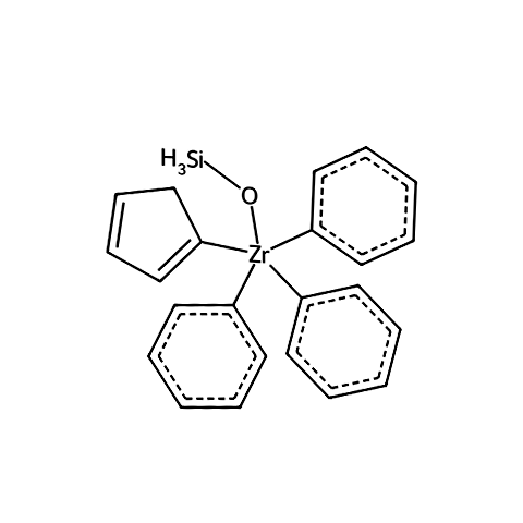 [SiH3][O][Zr]([C]1=CC=CC1)([c]1ccccc1)([c]1ccccc1)[c]1ccccc1